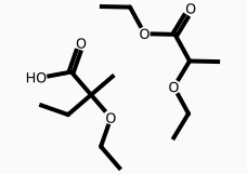 CCOC(=O)C(C)OCC.CCOC(C)(CC)C(=O)O